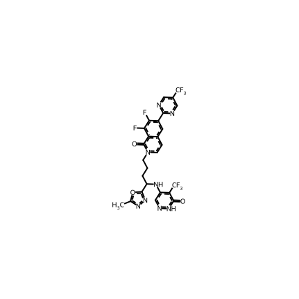 Cc1nnc(C(CCCn2ccc3cc(-c4ncc(C(F)(F)F)cn4)c(F)c(F)c3c2=O)Nc2cn[nH]c(=O)c2C(F)(F)F)o1